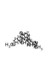 COc1ccc(Cn2cnc3c(-n4cc(-c5cnn(C)c5)c(N)n4)nccc3c2=O)c(OC)c1